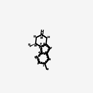 Cc1cnc2c(c1)cc1n2[C@H](C)CNC1